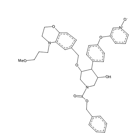 COCCCN1CCOc2ccc(COC3CN(C(=O)OCc4ccccc4)CC(O)C3c3ccc(Oc4ccc[n+]([O-])c4)cc3)cc21